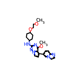 COCCOC1CCC(Nc2nc(OC)c3c(-c4ccc5nccn5c4)ccn3n2)CC1